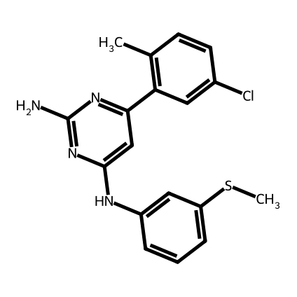 CSc1cccc(Nc2cc(-c3cc(Cl)ccc3C)nc(N)n2)c1